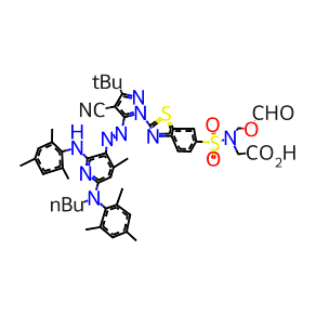 CCCCN(c1cc(C)c(N=Nc2c(C#N)c(C(C)(C)C)nn2-c2nc3ccc(S(=O)(=O)N(COC=O)CC(=O)O)cc3s2)c(Nc2c(C)cc(C)cc2C)n1)c1c(C)cc(C)cc1C